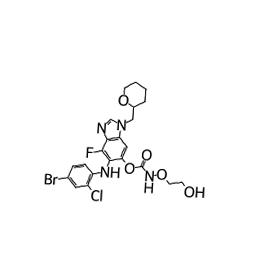 O=C(NOCCO)Oc1cc2c(ncn2CC2CCCCO2)c(F)c1Nc1ccc(Br)cc1Cl